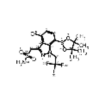 CC1(C)OB(c2ccc(Cl)c3c(CS(N)(=O)=O)nn(CC(F)(F)F)c23)OC1(C)C